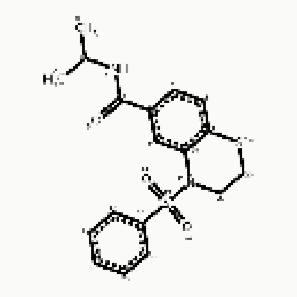 CC(C)NC(=O)c1ccc2c(c1)N(S(=O)(=O)c1ccccc1)CCS2